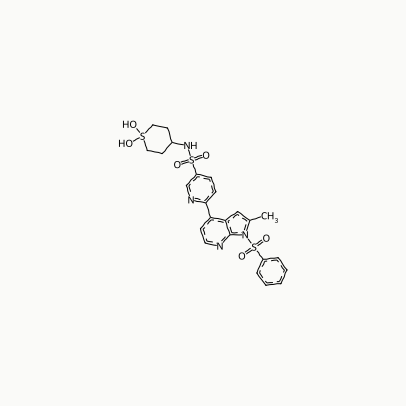 Cc1cc2c(-c3ccc(S(=O)(=O)NC4CCS(O)(O)CC4)cn3)ccnc2n1S(=O)(=O)c1ccccc1